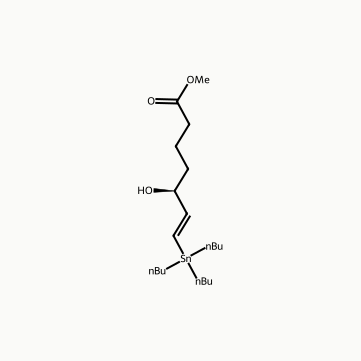 CCC[CH2][Sn](/[CH]=C/[C@@H](O)CCCC(=O)OC)([CH2]CCC)[CH2]CCC